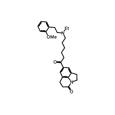 CCN(CCCCCC(=O)c1cc2c3c(c1)CCN3C(=O)CC2)CCc1ccccc1OC